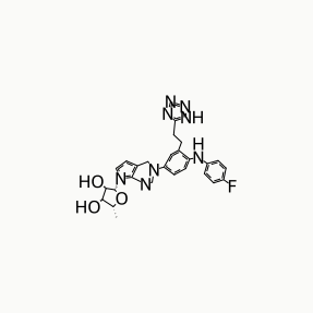 C[C@H]1O[C@@H](n2ccc3c2N=CN(c2ccc(Nc4ccc(F)cc4)c(CCc4nnn[nH]4)c2)C3)[C@H](O)[C@@H]1O